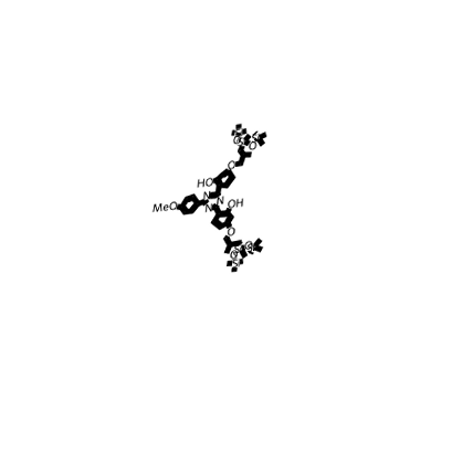 COc1ccc(-c2nc(-c3ccc(OCC(C)C[Si](C)(O[Si](C)(C)C)O[Si](C)(C)C)cc3O)nc(-c3ccc(OCC(C)C[Si](C)(O[Si](C)(C)C)O[Si](C)(C)C)cc3O)n2)cc1